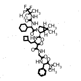 CN(C)C(=O)[C@@H](NC(=O)CNC(=O)C(=O)C(CC1CCC1)NC(=O)[C@@H]1[C@@H]2[C@H](CN1C(=O)[C@@H](NC(=O)NC(C)(C)C(F)(F)F)C1CCCCC1)C2(C)C)c1ccccc1